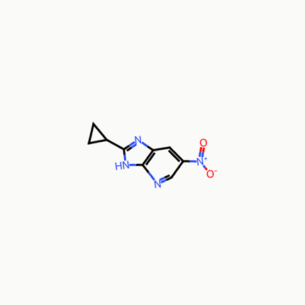 O=[N+]([O-])c1cnc2[nH]c(C3CC3)nc2c1